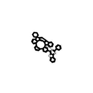 CC12c3cc(-c4nc(-c5ccccc5)nc5c4oc4ccccc45)ccc3-c3cccc(c3)-c3cccc4c3-c3cc1c(cc3C41CCCCC1)-c1ccccc12